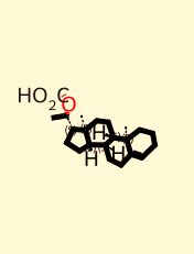 CC(OC(=O)O)[C@H]1CC[C@H]2[C@@H]3CCC4=CCCC[C@]4(C)[C@H]3CC[C@]12C